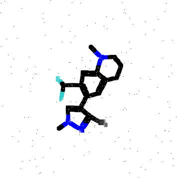 CN1CCCc2cc(-c3cn(C)nc3C(F)(F)F)c(C(F)F)cc21